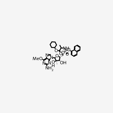 COc1nc(N)nc2c1ncn2C1O[C@H](COP(=O)(NC(C)C(=O)OC2CCCCC2)Oc2cccc3ccccc23)[C@@H](O)[C@@]1(C)O